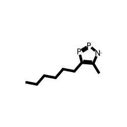 CCCCCCC1=C(C)[N]P=P1